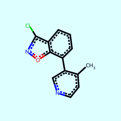 Cc1ccncc1-c1cccc2c(Cl)noc12